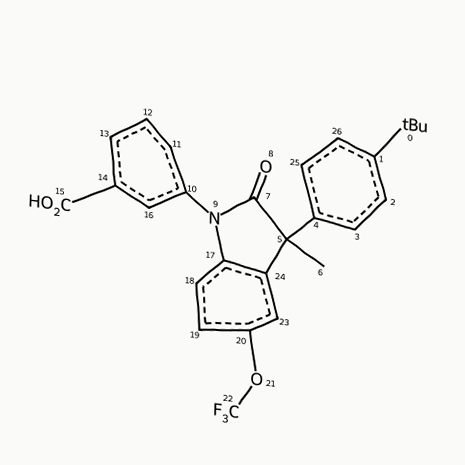 CC(C)(C)c1ccc(C2(C)C(=O)N(c3cccc(C(=O)O)c3)c3ccc(OC(F)(F)F)cc32)cc1